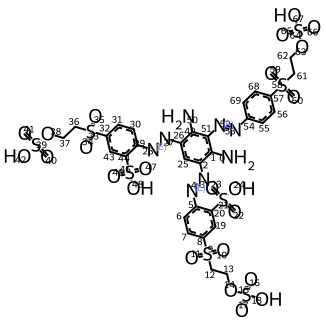 Nc1c(/N=N/c2ccc(S(=O)(=O)CCOS(=O)(=O)O)cc2S(=O)(=O)O)cc(/N=N/c2ccc(S(=O)(=O)CCOS(=O)(=O)O)cc2S(=O)(=O)O)c(N)c1/N=N/c1ccc(S(=O)(=O)CCOS(=O)(=O)O)cc1